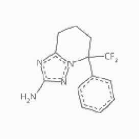 Nc1nc2n(n1)C(c1ccccc1)(C(F)(F)F)CCC2